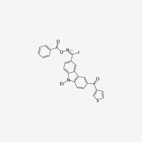 CCn1c2ccc(C(=O)c3ccsc3)cc2c2cc(/C(I)=N\OC(=O)c3ccccc3)ccc21